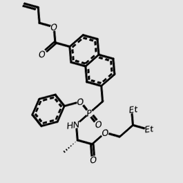 C=CCOC(=O)c1ccc2ccc(CP(=O)(N[C@@H](C)C(=O)OCC(CC)CC)Oc3ccccc3)cc2c1